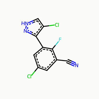 N#Cc1cc(Cl)cc(-c2n[nH]cc2Cl)c1F